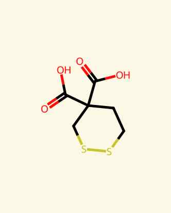 O=C(O)C1(C(=O)O)CCSSC1